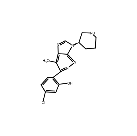 Cc1c(-c2ccc(Cl)cc2O)nnc2c1ncn2[C@@H]1CCCNC1